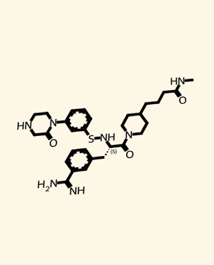 CNC(=O)CCCC1CCN(C(=O)[C@H](Cc2cccc(C(=N)N)c2)NSc2cccc(N3CCNCC3=O)c2)CC1